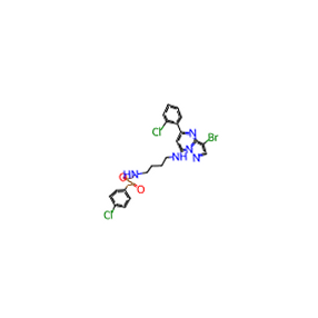 O=S(=O)(NCCCCNc1cc(-c2ccccc2Cl)nc2c(Br)cnn12)c1ccc(Cl)cc1